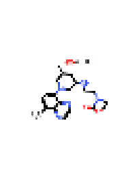 C[C@H]1C[C@@H](NCCN2CCOC2=O)CN(c2ccc(C(F)(F)F)c3nccnc23)C1.O=CO